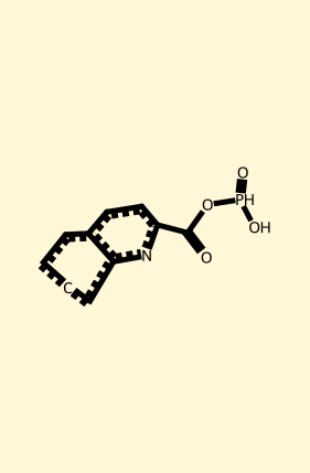 O=C(O[PH](=O)O)c1ccc2ccccc2n1